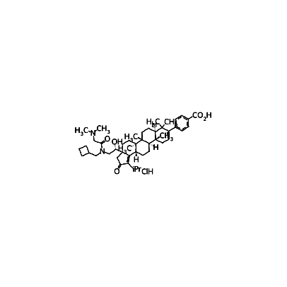 CC(C)C1=C2[C@H]3CC[C@@H]4[C@@]5(C)CC=C(c6ccc(C(=O)O)cc6)C(C)(C)[C@@H]5CC[C@@]4(C)[C@]3(C)CC[C@@]2([C@@H](O)CN(CC2CCC2)C(=O)CN(C)C)CC1=O.Cl